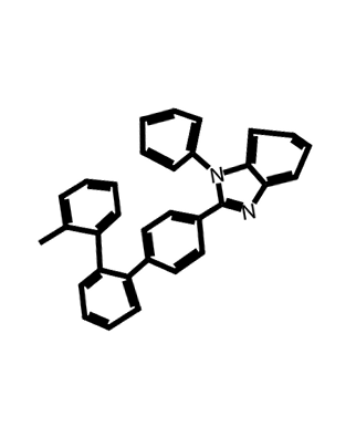 Cc1ccccc1-c1ccccc1-c1ccc(-c2nc3ccccc3n2-c2ccccc2)cc1